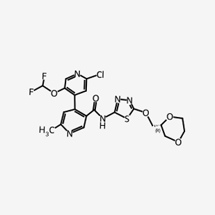 Cc1cc(-c2cc(Cl)ncc2OC(F)F)c(C(=O)Nc2nnc(OC[C@H]3COCCO3)s2)cn1